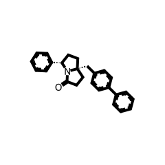 O=C1CC[C@]2(Cc3ccc(-c4ccccc4)cc3)CC[C@@H](c3ccccc3)N12